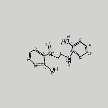 [2H]N(CCN([2H])c1ccccc1O)c1ccccc1O